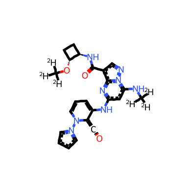 [2H]C([2H])([2H])Nc1cc(NC2=CC=CN(n3cccc3)C2=C=O)nc2c(C(=O)N[C@@H]3CC[C@H]3OC([2H])([2H])[2H])cnn12